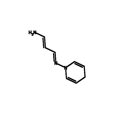 NC=CC=NN1C=CCC=C1